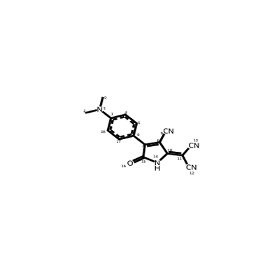 CN(C)c1ccc(C2=C(C#N)C(=C(C#N)C#N)NC2=O)cc1